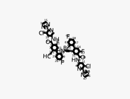 C#Cc1cc(C(=O)Nc2cnc(-n3nccn3)c(Cl)c2)c(F)cc1-c1ccc(F)cc1NC#Cc1cc(C(=O)Nc2cnc(-n3nccn3)c(Cl)c2)c(F)cc1-c1ccc(F)cc1Br